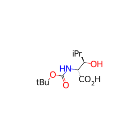 CC(C)[C@@H](O)[C@@H](NC(=O)OC(C)(C)C)C(=O)O